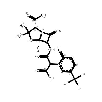 CC1(C)S[C@@H]2C(NC(=O)C(C(=O)O)n3cc(C(F)(F)F)ccc3=O)C(=O)N2[C@H]1C(=O)O